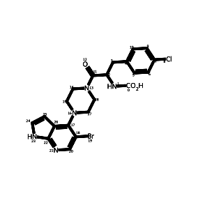 O=C(O)NC(Cc1ccc(Cl)cc1)C(=O)N1CCN(c2c(Br)cnc3[nH]ccc23)CC1